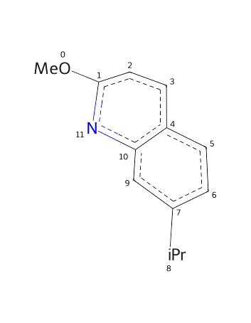 COc1ccc2ccc(C(C)C)cc2n1